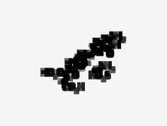 NCCS(=O)(=O)O.Nc1nc2ncc(CNc3ccc(C(=O)NC(CCC(=O)O)C(=O)O)cc3)nc2c(=O)[nH]1